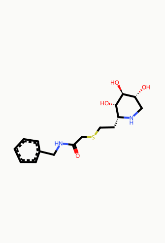 O=C(CSCC[C@H]1NC[C@@H](O)[C@H](O)[C@H]1O)NCc1ccccc1